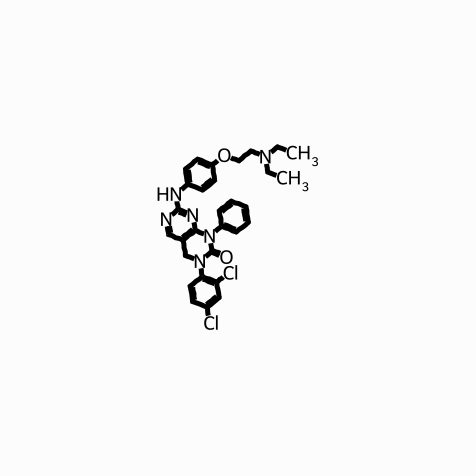 CCN(CC)CCOc1ccc(Nc2ncc3c(n2)N(c2ccccc2)C(=O)N(c2ccc(Cl)cc2Cl)C3)cc1